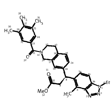 CCn1nnc2c(C)c([C@@H](CC(=O)OC)c3ccc4c(c3)CN(C(=O)c3cc(C)c(C)c(C)c3)CC4)ccc21